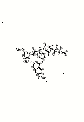 C=C[C@@H]1C[C@]1(NC(=O)[C@@H]1C[C@@H](Oc2nccc3cc(OC)ccc23)CN1C(=O)[C@H](C)Nc1nc(OC)nc(OC)n1)C(=O)NS(=O)(=O)C1CC1